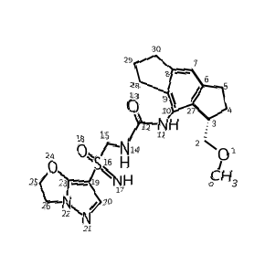 COC[C@H]1CCc2cc3c(c(NC(=O)NCS(=N)(=O)c4cnn5c4OCC5)c21)CCC3